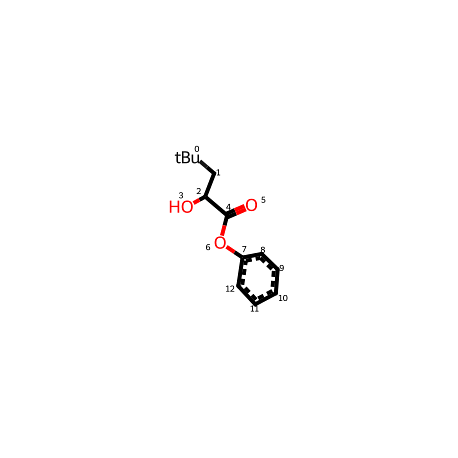 CC(C)(C)CC(O)C(=O)Oc1ccccc1